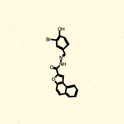 O=C(N/N=C/c1ccc(O)c(Br)c1)c1cc2c(ccc3ccccc32)o1